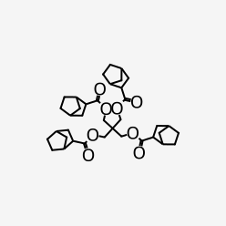 O=C(OCC(COC(=O)C1CC2CCC1C2)(COC(=O)C1CC2CCC1C2)COC(=O)C1CC2CCC1C2)C1CC2CCC1C2